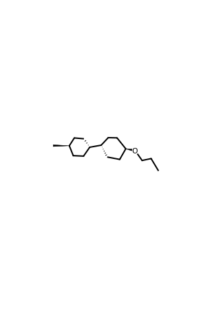 CCCO[C@H]1CC[C@H]([C@H]2CC[C@H](C)CC2)CC1